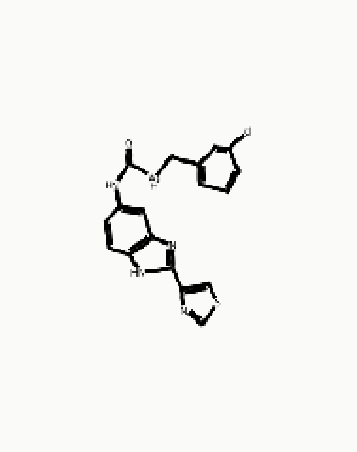 O=C(Nc1ccc2[nH]c(-c3cscn3)nc2c1)[AsH]Cc1cccc(Cl)c1